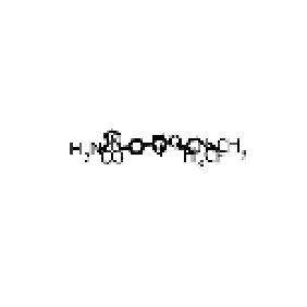 CC(C)(F)CN1CCC(COc2ccc(-c3ccc(C(=O)N4CCCC4C(N)=O)cc3)nc2)CC1